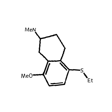 CCSc1ccc(OC)c2c1CCC(NC)C2